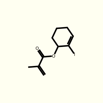 C=C(C)C(=O)OC1CCCC=C1I